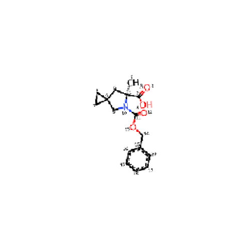 C[C@@]1(C(=O)O)CC2(CC2)CN1C(=O)OCc1ccccc1